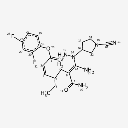 C=C(/C=C\C(CC)C/C(C(N)=O)=C(/N)N(N)C1CCN(C#N)C1)Oc1ccc(F)cc1F